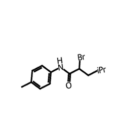 Cc1ccc(NC(=O)C(Br)CC(C)C)cc1